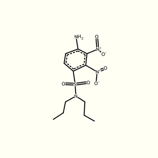 CCCN(CCC)S(=O)(=O)c1ccc(N)c([N+](=O)[O-])c1[N+](=O)[O-]